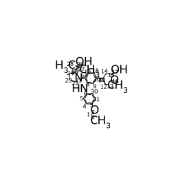 CCOc1ccc(Nc2cc([C@H](CC)CC(=O)O)ccc2N2CCC[C@H]2C(C)(C)O)cc1